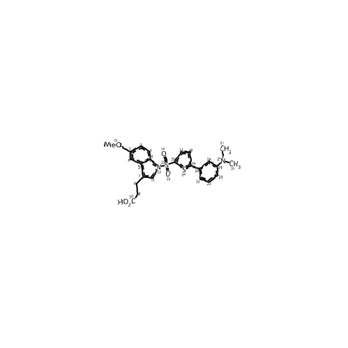 COc1ccc2c(c1)c(CCC(=O)O)cn2S(=O)(=O)c1ccc(-c2cccc(N(C)C)c2)s1